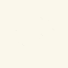 COc1cc(C)c(S(=O)(=O)N2CCCCC2COCC(=O)N2CCC(CN3CCCC3)(c3cccnc3)CC2)c(C)c1